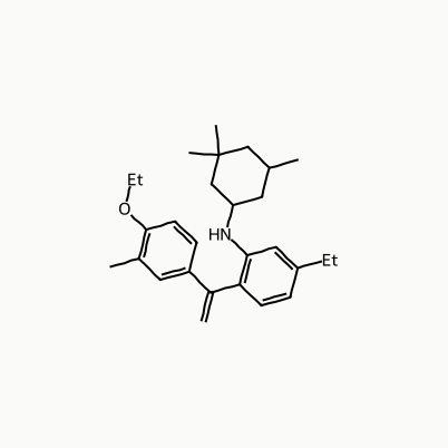 C=C(c1ccc(OCC)c(C)c1)c1ccc(CC)cc1NC1CC(C)CC(C)(C)C1